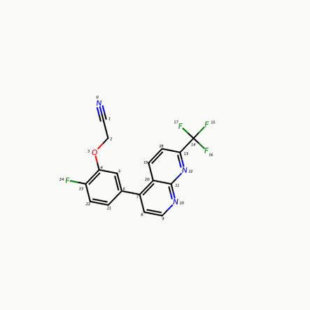 N#CCOc1cc(-c2ccnc3nc(C(F)(F)F)ccc23)ccc1F